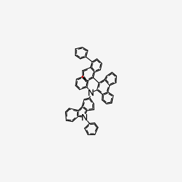 c1ccc(-c2cccc3c(-c4c(N(c5ccccc5)c5ccc6c(c5)c5ccccc5n6-c5ccccc5)c5ccccc5c5ccccc45)cccc23)cc1